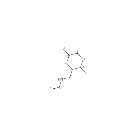 CCNCC1CN(C)CCC1C